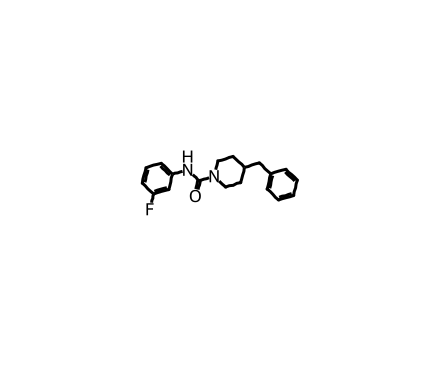 O=C(Nc1cccc(F)c1)N1CCC(Cc2ccccc2)CC1